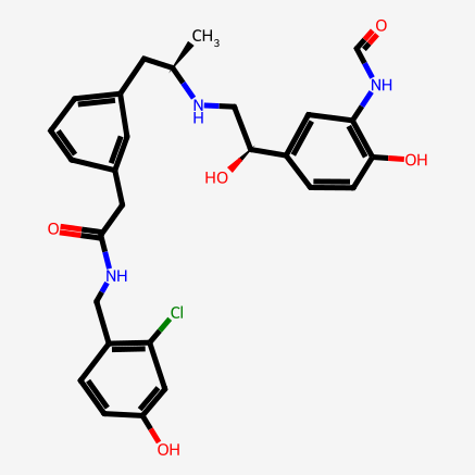 C[C@H](Cc1cccc(CC(=O)NCc2ccc(O)cc2Cl)c1)NC[C@H](O)c1ccc(O)c(NC=O)c1